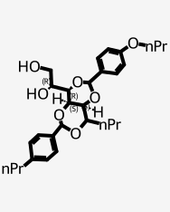 CCCOc1ccc(C2O[C@H]([C@H](O)CO)[C@@H]3OC(c4ccc(CCC)cc4)OC(CCC)[C@@H]3O2)cc1